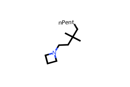 CCCCCCC(C)(C)CCN1CCC1